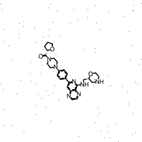 O=C([C@@H]1CCCO1)N1CCN(c2ccc(-c3cc4nccnc4c(NC[C@@H]4CNCCO4)n3)cc2)CC1